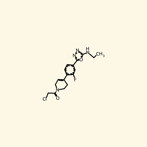 CCNc1nnc(-c2ccc(C3=CCN(C(=O)CCl)CC3)c(F)c2)o1